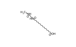 CCCNC(=O)CCCNC(=O)CCCCCCCCCCCCCCCCC(=O)O